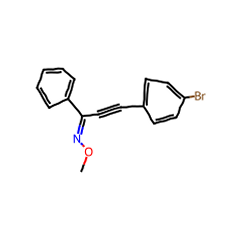 CON=C(C#Cc1ccc(Br)cc1)c1ccccc1